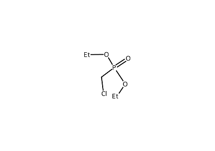 CCOP(=O)(CCl)OCC